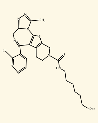 CCCCCCCCCCCCCCCCNC(=S)N1CCc2c(sc3c2C(c2ccccc2Cl)=NCc2nnc(C)n2-3)C1